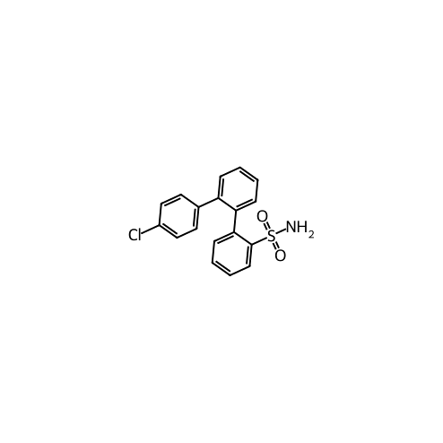 NS(=O)(=O)c1ccccc1-c1ccccc1-c1ccc(Cl)cc1